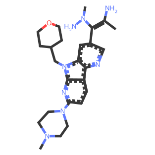 C/C(N)=C(\c1cnc2c3ccc(N4CCN(C)CC4)nc3n(CC3CCOCC3)c2c1)N(C)N